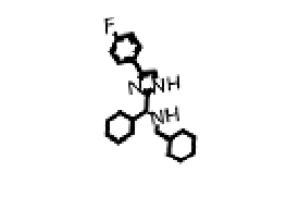 Fc1ccc(-c2c[nH]c([C@@H](NCC3CCCCC3)C3CCCCC3)n2)cc1